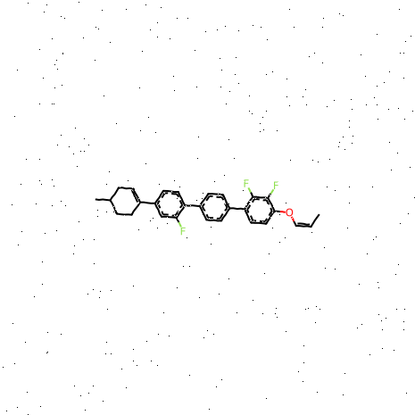 C/C=C\Oc1ccc(-c2ccc(-c3ccc(C4=CCC(C)CC4)cc3F)cc2)c(F)c1F